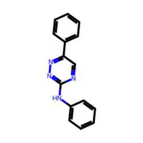 c1ccc(Nc2ncc(-c3ccccc3)nn2)cc1